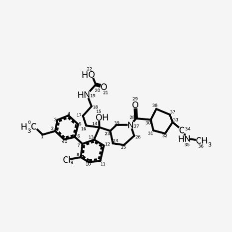 CCc1cccc(-c2c(Cl)cccc2C(O)(CCCNC(=O)O)C2CCCN(C(=O)C3CCC(CNC)CC3)C2)c1